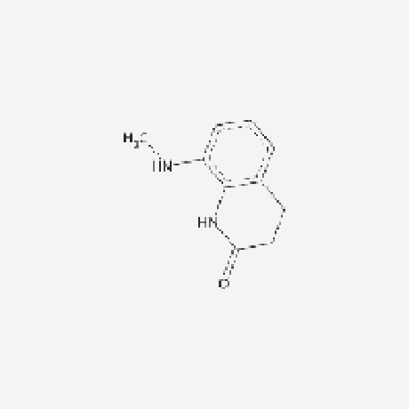 CNc1cccc2c1NC(=O)CC2